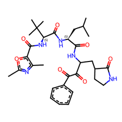 Cc1nc(C)c(C(=O)N[C@H](C(=O)N[C@@H](CC(C)C)C(=O)NC(CC2CCNC2=O)C(=O)C(=O)c2ccccc2)C(C)(C)C)o1